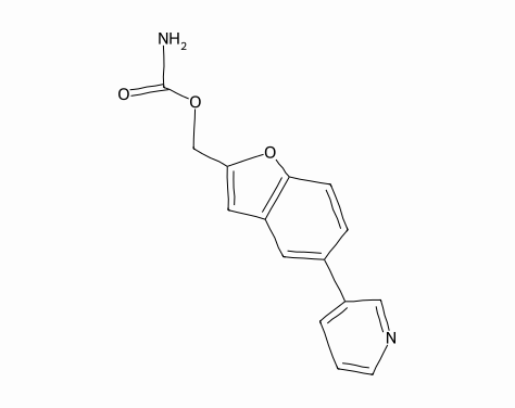 NC(=O)OCc1cc2cc(-c3cccnc3)ccc2o1